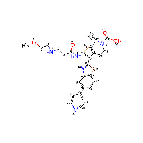 COCCNCCC(=O)Nc1sc2c(c1-c1nc3cc(-c4ccncc4)ccc3s1)CCN(C(=O)O)C2C